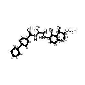 C[C@H](NC(=O)c1ccc(-c2ccccc2)cc1)C(=O)Nc1ccc2[nH]cc(C(=O)O)c(=O)c2c1Br